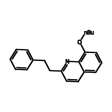 CCCCOc1cccc2ccc(CCc3ccccc3)nc12